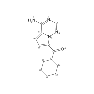 Nc1ncnn2c(C(=O)C3CCCCC3)ccc12